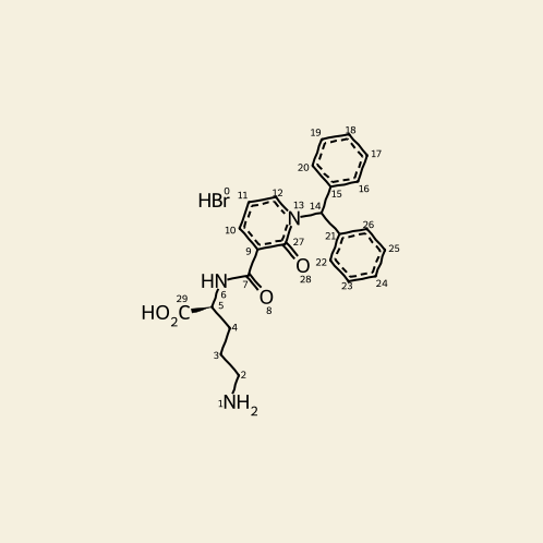 Br.NCCC[C@H](NC(=O)c1cccn(C(c2ccccc2)c2ccccc2)c1=O)C(=O)O